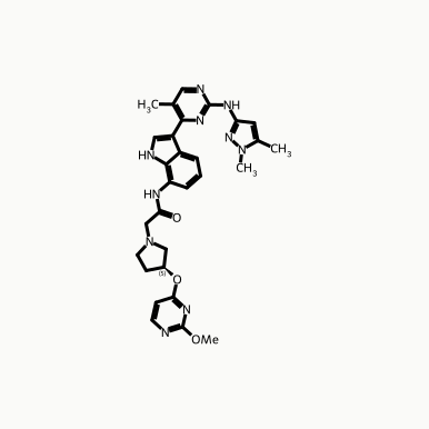 COc1nccc(O[C@H]2CCN(CC(=O)Nc3cccc4c(-c5nc(Nc6cc(C)n(C)n6)ncc5C)c[nH]c34)C2)n1